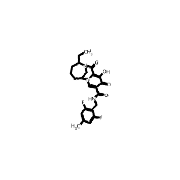 CCC1CCCC2CN1C(=O)c1c(O)c(=O)c(C(=O)NCc3c(F)cc(C)cc3F)cn12